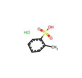 Cc1ccccc1S(=O)(=O)O.Cl